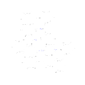 c1ccc(N(c2cccc3ccccc23)c2ccc(N(c3ccccc3)c3cccc4ccccc34)c3nc4c5ccccc5c5ccccc5c4nc23)cc1